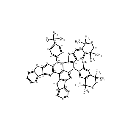 Cc1cc2c(cc1N1c3cc4c(oc5ccccc54)c4c3B(c3oc5cc6c(cc5c31)C(C)(C)CCC6(C)C)N(c1ccc(C(C)(C)C)cc1)c1cc3oc5ccccc5c3cc1-4)C(C)(C)CCC2(C)C